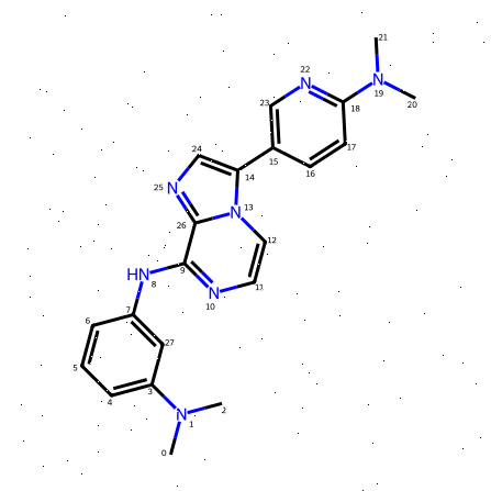 CN(C)c1cccc(Nc2nccn3c(-c4ccc(N(C)C)nc4)cnc23)c1